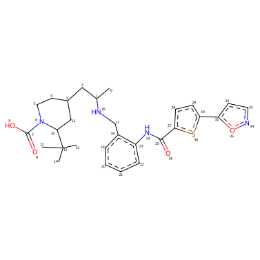 CC(CC1CCN(C(=O)O)C(C(C)(C)C)C1)NCc1ccccc1NC(=O)c1ccc(-c2ccno2)s1